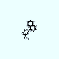 O=C(O)CNc1ncnc2ccccc12